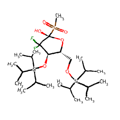 CC(C)[Si](OC[C@H]1O[C@@](O)(S(C)(=O)=O)C(F)(F)[C@@H]1O[Si](C(C)C)(C(C)C)C(C)C)(C(C)C)C(C)C